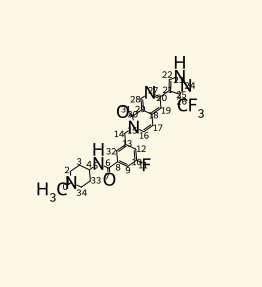 CN1CCC(NC(=O)c2cc(F)cc(Cn3ccc4cc(-c5c[nH]nc5C(F)(F)F)ncc4c3=O)c2)CC1